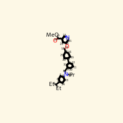 CCC(CC)c1ccc(N(Cc2cccc(-c3ccc(COc4cncc(C(=O)OC)c4)cc3)c2)C(C)C)cc1